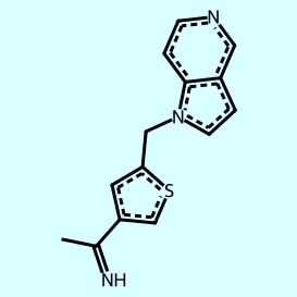 CC(=N)c1csc(Cn2ccc3cnccc32)c1